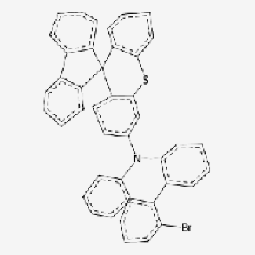 Brc1ccccc1-c1ccccc1N(c1ccccc1)c1ccc2c(c1)Sc1ccccc1C21c2ccccc2-c2ccccc21